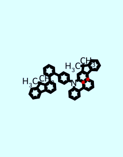 CC1(C)c2ccccc2-c2ccc(N(c3ccc(-c4ccccc4-c4cccc5c4C(C)(C)c4ccccc4-5)cc3)c3ccccc3-c3ccccc3)cc21